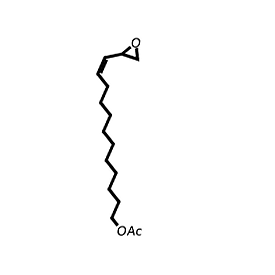 CC(=O)OCCCCCCCCCC/C=C\C1CO1